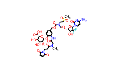 CN(CC(=O)Nc1cc(COC(=O)N(CCS(C)(=O)=O)COC[C@@H]2O[C@H](n3ccc(N)nc3=O)C(F)(F)[C@H]2O)ccc1O[C@H]1O[C@@H](C(=O)O)[C@H](O)[C@@H](O)[C@@H]1O)C(=O)CCN1C(=O)C=CC1=O